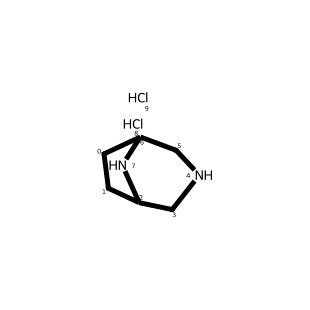 C1CC2CNCC1N2.Cl.Cl